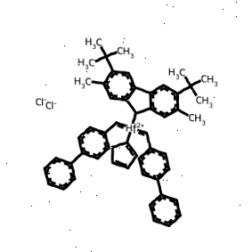 Cc1cc2c(cc1C(C)(C)C)-c1cc(C(C)(C)C)c(C)cc1[CH]2[Hf+2](=[CH]c1ccc(-c2ccccc2)cc1)(=[CH]c1ccc(-c2ccccc2)cc1)[C]1=CC=CC1.[Cl-].[Cl-]